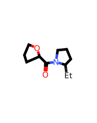 CCC1CCCN1C(=O)C1CCCO1